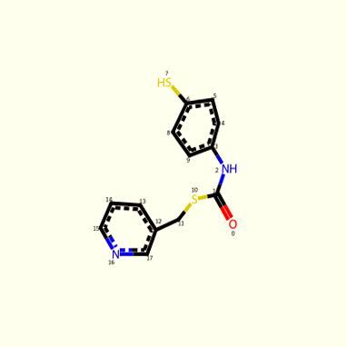 O=C(Nc1ccc(S)cc1)SCc1cccnc1